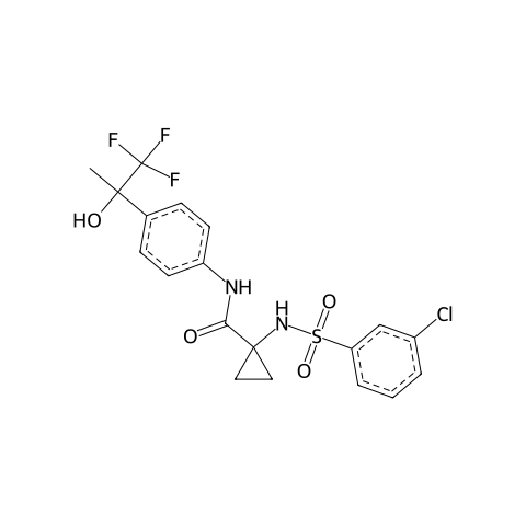 CC(O)(c1ccc(NC(=O)C2(NS(=O)(=O)c3cccc(Cl)c3)CC2)cc1)C(F)(F)F